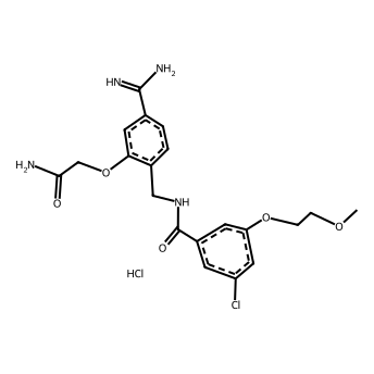 COCCOc1cc(Cl)cc(C(=O)NCc2ccc(C(=N)N)cc2OCC(N)=O)c1.Cl